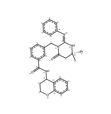 CC(C)[C@]1(C)CC(=O)N(Cc2cccc(C(=O)NC3CCOc4ccccc43)c2)/C(=N\c2ccccc2)N1